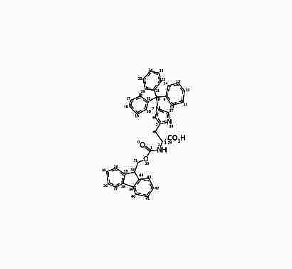 O=C(N[C@H](Cc1cn(C(c2ccccc2)(c2ccccc2)c2ccccc2)cn1)C(=O)O)OCC1c2ccccc2-c2ccccc21